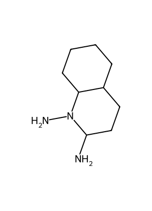 NC1CCC2CCCCC2N1N